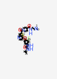 CN(C)CCNC(=O)C1CCN(C(=O)c2cc3nccc(Oc4ccc(NC(=O)NC5CC5)cc4F)c3s2)CC1